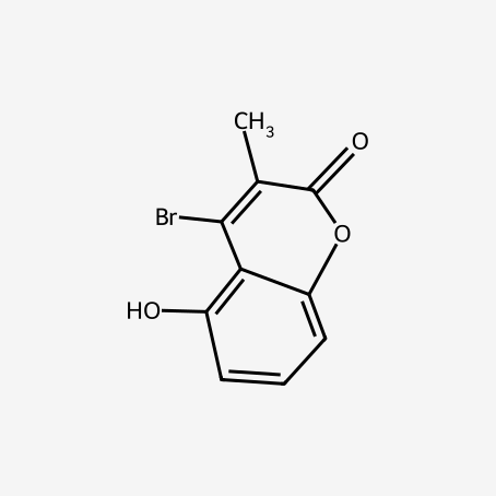 Cc1c(Br)c2c(O)cccc2oc1=O